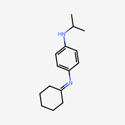 CC(C)Nc1ccc(N=C2CCCCC2)cc1